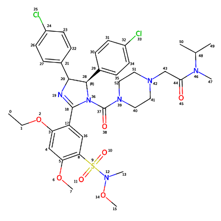 CCOc1cc(OC)c(S(=O)(=O)N(C)OC)cc1C1=NC(c2ccc(Cl)cc2)[C@@H](c2ccc(Cl)cc2)N1C(=O)N1CCN(CC(=O)N(C)C(C)C)CC1